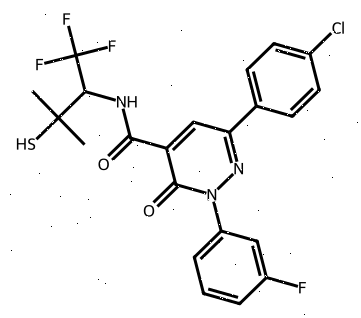 CC(C)(S)C(NC(=O)c1cc(-c2ccc(Cl)cc2)nn(-c2cccc(F)c2)c1=O)C(F)(F)F